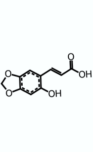 O=C(O)C=Cc1cc2c(cc1O)OCO2